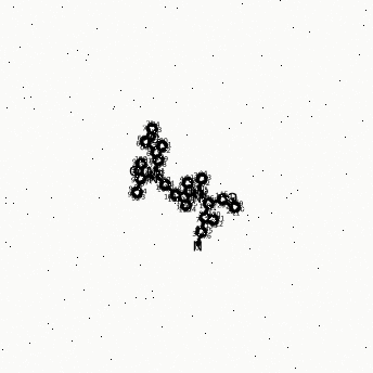 N#Cc1ccc(-c2ccc(-c3cc(-c4ccc5oc6ccccc6c5c4)cc(-c4nc(-c5ccccc5)nc(-c5c(-c6ccccc6)c6cc(-c7ccc(-c8nc(-c9ccc%10c(c9)cc(-c9cccc%11c9oc9ccccc9%11)c9ccccc9%10)nc(-c9cc(-c%10ccccc%10)cc%10oc%11ccccc%11c9%10)n8)cc7)ccc6c6ccccc56)n4)c3)c3ccccc23)cc1